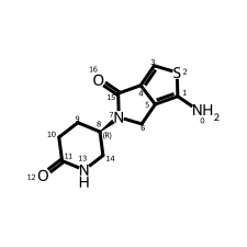 Nc1scc2c1CN([C@@H]1CCC(=O)NC1)C2=O